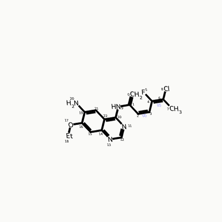 C=C(/C=C\C(F)=C(/C)Cl)Nc1ncnc2cc(OCC)c(N)cc12